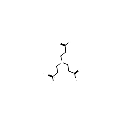 NC(=O)CCP(CCC(N)=O)CCC(N)=O